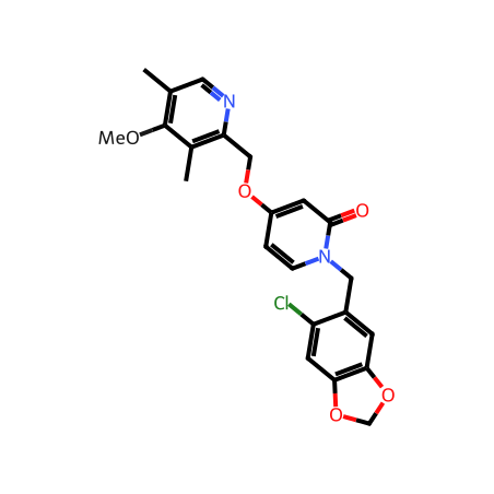 COc1c(C)cnc(COc2ccn(Cc3cc4c(cc3Cl)OCO4)c(=O)c2)c1C